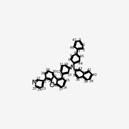 c1ccc(-c2ccc(N(c3cccc(-c4cccc5oc6c(-c7cccnc7)cccc6c45)c3)c3ccc4ccccc4c3)cc2)cc1